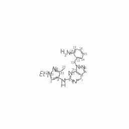 CCn1cc(Nc2ncc3cnn(Cc4ccccc4N)c3n2)c(C)n1